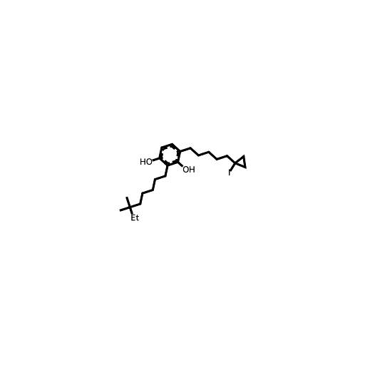 CCC(C)(C)CCCCCc1c(O)ccc(CCCCCC2(I)CC2)c1O